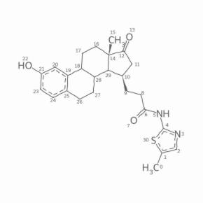 Cc1cnc(NC(=O)CC[C@@H]2CC(=O)[C@@]3(C)CCC4c5cc(O)ccc5CCC4C23)s1